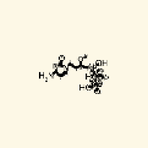 COC(CCn1ccc(N)nc1=O)COP(=O)(O)OP(=O)(O)OP(=O)(O)O